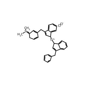 C[Si](C)=C1C=C(CC2=C[CH]([Ti+2][CH]3C=C(Cc4ccccc4)c4ccccc43)c3ccccc32)C=CC1.[Cl-].[Cl-]